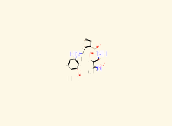 COc1cccc(NCc2sccc2S(=O)(=O)Nc2onc(C)c2C)c1